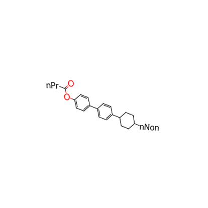 CCCCCCCCCC1CCC(c2ccc(-c3ccc(OC(=O)CCC)cc3)cc2)CC1